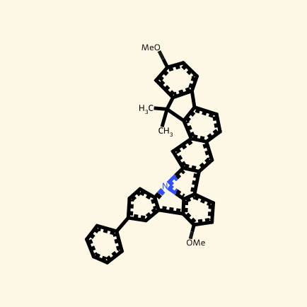 COc1ccc2c(c1)C(C)(C)c1c-2ccc2cc3c4ccc(OC)c5c6cc(-c7ccccc7)ccc6n(c3cc12)c45